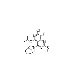 CSc1nc(N2CC3CCC(C3)C2)c2c(OC(C)C)nc(Cl)c(F)c2n1